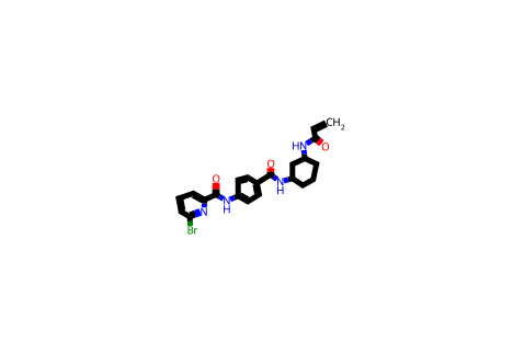 C=CC(=O)NC1CCCC(NC(=O)c2ccc(NC(=O)c3cccc(Br)n3)cc2)C1